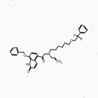 C=CCN(CCCCCCOCC(F)(F)c1ccccc1)CC(=O)c1ccc(OCc2ccccc2)c2[nH]c(=O)ccc12